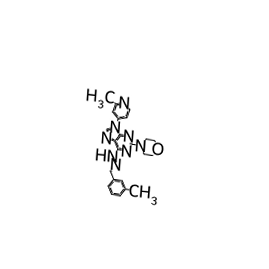 Cc1cccc(C=NNc2nc(N3CCOCC3)nc3c2ncn3-c2ccnc(C)c2)c1